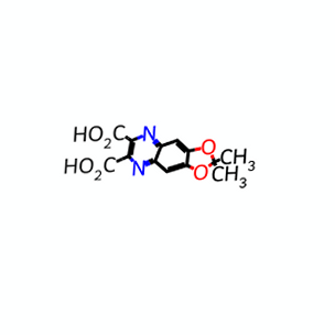 CC1(C)Oc2cc3nc(C(=O)O)c(C(=O)O)nc3cc2O1